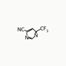 N#Cc1cc(C(F)(F)F)ncn1